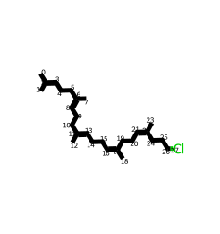 CC(C)=CCCC(C)=CCCC(C)=CCCC=C(C)CCC=C(C)CCCCl